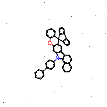 c1ccc(-c2ccc(-n3c4cc5c(cc4c4ccc6ccccc6c43)C3(c4ccccc4O5)c4ccccc4-c4ccccc43)cc2)cc1